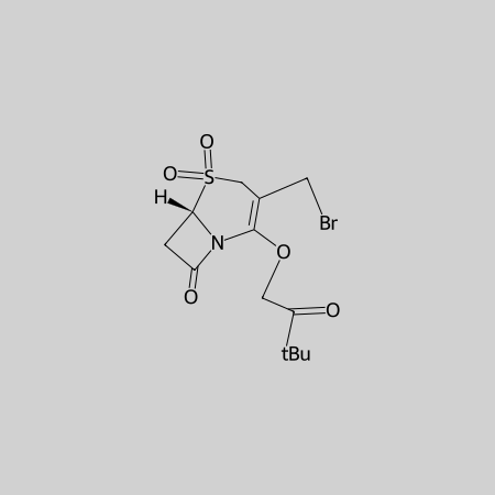 CC(C)(C)C(=O)COC1=C(CBr)CS(=O)(=O)[C@H]2CC(=O)N12